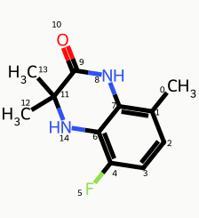 Cc1ccc(F)c2c1NC(=O)C(C)(C)N2